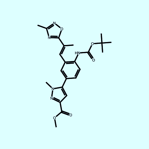 COC(=O)c1cc(-c2ccc(NC(=O)OC(C)(C)C)c(/C=C(\C)c3nc(C)no3)c2)n(C)n1